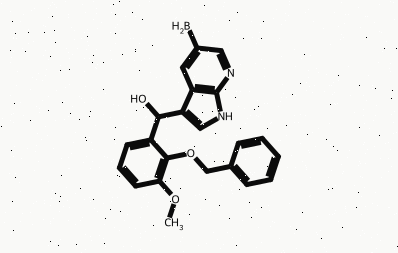 Bc1cnc2[nH]cc(C(O)c3cccc(OC)c3OCc3ccccc3)c2c1